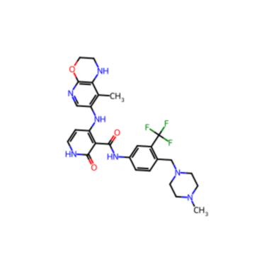 Cc1c(Nc2cc[nH]c(=O)c2C(=O)Nc2ccc(CN3CCN(C)CC3)c(C(F)(F)F)c2)cnc2c1NCCO2